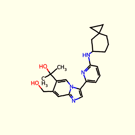 CC(C)(O)c1cn2c(-c3cccc(NC4CCCC5(CC5)C4)n3)cnc2cc1CO